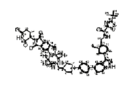 [2H]C1([2H])N(CC2CCN(c3ccc(-c4ccc5[nH]nc(-c6ccc(CNC(=O)c7nc(C(C)(C)C)no7)c(C)c6)c5c4)cc3)CC2)C([2H])([2H])C([2H])([2H])N(c2cc3c(cc2F)C(=O)N(C2CCC(=O)NC2=O)C3=O)C1([2H])[2H]